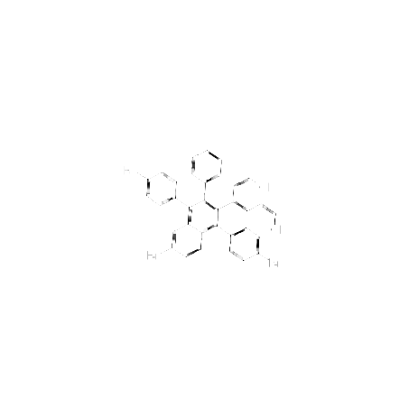 C\C=C/C=C(\C=C/C)c1c(-c2ccccc2)c(-c2ccc(Br)cc2)c2cc(Br)ccc2c1-c1ccc(Br)cc1